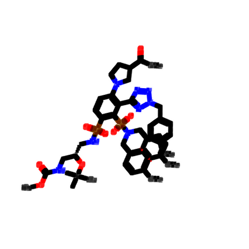 COC(=O)C1CCN(c2ccc(S(=O)(=O)NC[C@@H](CNC(=O)OC(C)(C)C)O[Si](C)(C)C(C)(C)C)c(S(=O)(=O)N(Cc3ccc(OC)cc3)Cc3ccc(OC)cc3)c2-c2nnn(Cc3ccc(OC)cc3)n2)C1